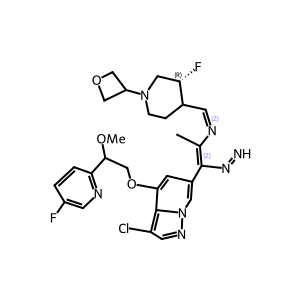 COC(COc1cc(/C(N=N)=C(C)/N=C\C2CCN(C3COC3)C[C@@H]2F)cn2ncc(Cl)c12)c1ccc(F)cn1